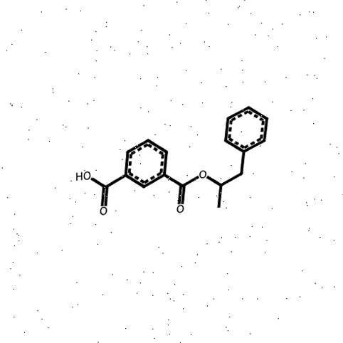 CC(Cc1ccccc1)OC(=O)c1cccc(C(=O)O)c1